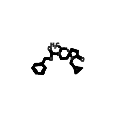 C[C@H]1C[C@@]2(C=CC(=O)N2CC2CC2)CCN1C(=O)OCc1ccccc1